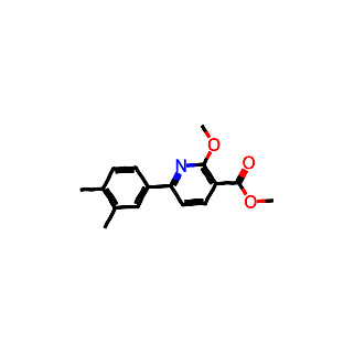 COC(=O)c1ccc(-c2ccc(C)c(C)c2)nc1OC